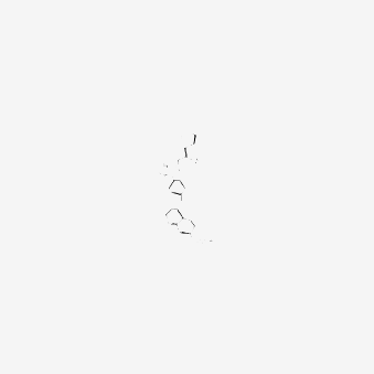 C=N/C(=C\C=C/C)CN=S(N)(=O)c1ccc(Oc2ccnc3cc(OC)ccc23)cc1